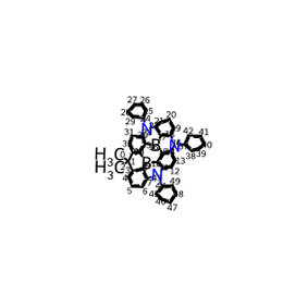 CC1(C)c2cccc3c2B2c4c(ccc5c4B4c6c(cccc6N(c6ccccc6)c6ccc1c2c64)N5c1ccccc1)N3c1ccccc1